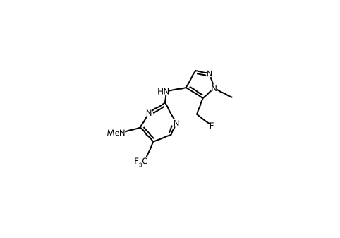 CNc1nc(Nc2cnn(C)c2CF)ncc1C(F)(F)F